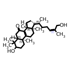 C/C(=C/CC[C@@H](C)[C@H]1CC[C@@]2(C)C3=C(CC[C@]12C)[C@@]1(C)CCC(O)C(C)(C)[C@@H]1CC3=O)CO